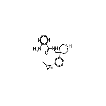 CC1C[C@H]1c1cccc(C2(CNC(=O)c3nccnc3N)CCNCC2)c1